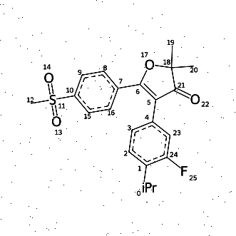 CC(C)c1ccc(C2=C(c3ccc(S(C)(=O)=O)cc3)OC(C)(C)C2=O)cc1F